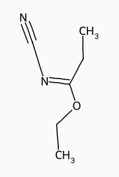 CCOC(CC)=NC#N